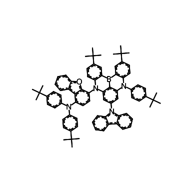 CC(C)(C)c1ccc(N2c3ccc(C(C)(C)C)cc3B3c4cc(C(C)(C)C)ccc4N(c4ccc(N(c5ccc(C(C)(C)C)cc5)c5ccc(C(C)(C)C)cc5)c5c4oc4ccccc45)c4cc(-n5c6ccccc6c6ccccc65)cc2c43)cc1